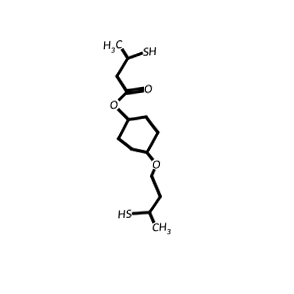 CC(S)CCOC1CCC(OC(=O)CC(C)S)CC1